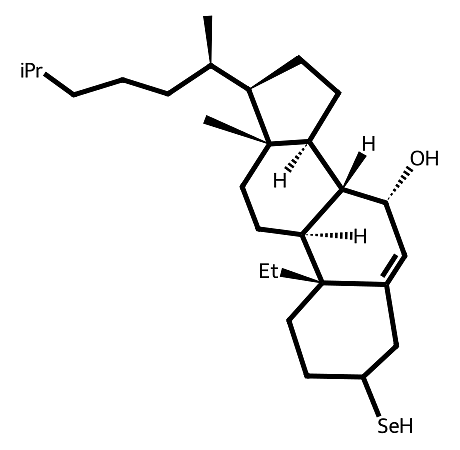 CC[C@]12CCC([SeH])CC1=C[C@@H](O)[C@@H]1[C@@H]2CC[C@]2(C)[C@@H]([C@H](C)CCCC(C)C)CC[C@@H]12